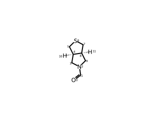 O=[C]N1C[C@H]2CSC[C@H]2C1